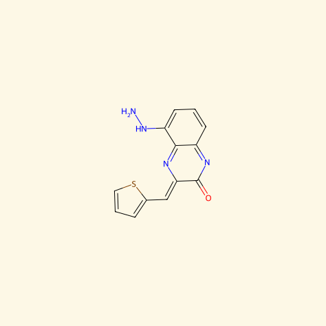 NNc1cccc2c1=NC(=Cc1cccs1)C(=O)N=2